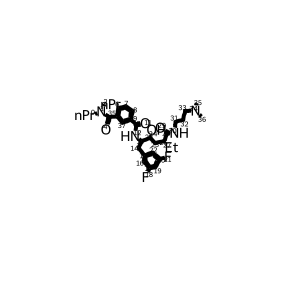 CCCN(CCC)C(=O)c1cccc(C(=O)NC(Cc2cc(F)cc(F)c2)[C@@H](O)C[C@@H](CC)C(=O)NCCCN(C)C)c1